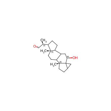 C[C@H](C=O)C1CCC2C3C[C@@H](O)C45CC4CC[C@]5(C)C3CC[C@@]21C